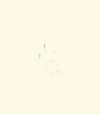 C=Cc1cnccc1/C=C\N=C\C